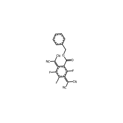 N#CC(C#N)=c1c(F)c(F)c(=C(C#N)C#N)c(C(=O)OCc2ccccc2)c1F